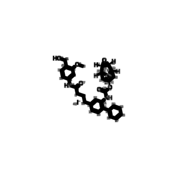 COc1cc(NC(=O)CCCc2ccc(-c3ccccc3)c(NC(=O)O[C@@H]3C[C@@H]4[C@H]5O[C@H]5[C@H](C3)[N+]4(C)C)c2)ccc1CO.[I-]